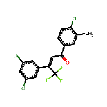 Cc1cc(C(=O)C=C(c2cc(Cl)cc(Cl)c2)C(F)(F)F)ccc1Cl